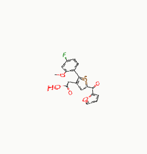 COc1cc(F)ccc1-c1sc(C(=O)c2ccco2)cc1CC(=O)O